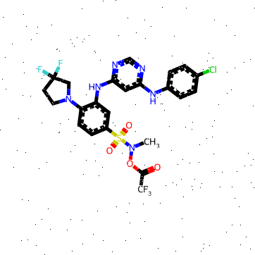 CN(OC(=O)C(F)(F)F)S(=O)(=O)c1ccc(N2CCC(F)(F)C2)c(Nc2cc(Nc3ccc(Cl)cc3)ncn2)c1